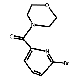 O=C(c1cccc(Br)n1)N1CCOCC1